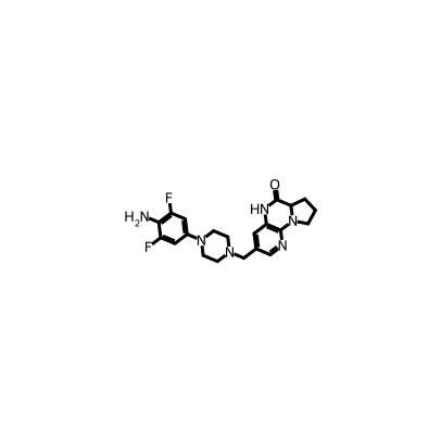 Nc1c(F)cc(N2CCN(Cc3cnc4c(c3)NC(=O)C3CCCN43)CC2)cc1F